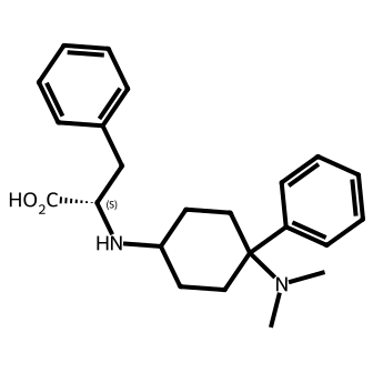 CN(C)C1(c2ccccc2)CCC(N[C@@H](Cc2ccccc2)C(=O)O)CC1